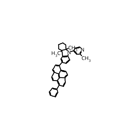 Cc1cc(N2c3ccc(-c4ccc5ccc6c(-c7ccccc7)ccc7ccc4c5c76)cc3C3(C)CCCCC23C)ccn1